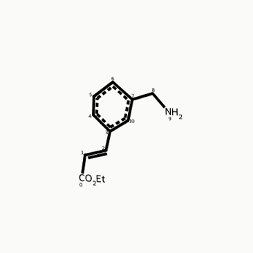 CCOC(=O)C=Cc1cccc(CN)c1